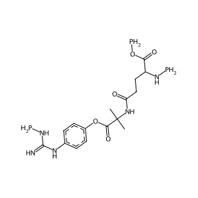 CC(C)(NC(=O)CCC(NP)C(=O)OP)C(=O)Oc1ccc(NC(=N)NP)cc1